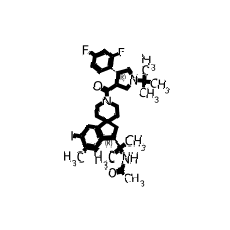 CC(=O)NC(C)(C)[C@@H]1CC2(CCN(C(=O)C3CN(C(C)(C)C)C[C@H]3c3ccc(F)cc3F)CC2)c2cc(I)c(C)cc21